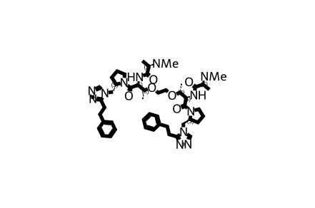 CN[C@@H](C)C(=O)N[C@H](C(=O)N1CCC[C@H]1Cn1cnnc1CCc1ccccc1)[C@@H](C)OCCO[C@H](C)[C@H](NC(=O)[C@H](C)NC)C(=O)N1CCC[C@H]1Cn1cnnc1CCc1ccccc1